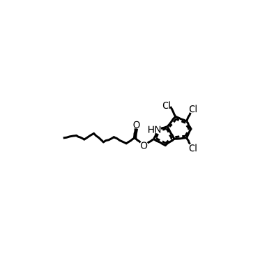 CCCCCCCC(=O)Oc1cc2c(Cl)cc(Cl)c(Cl)c2[nH]1